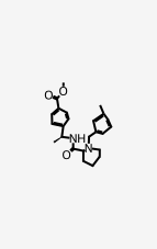 COC(=O)c1ccc([C@H](C)NC(=O)C2CCCCN2Cc2cccc(C)c2)cc1